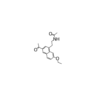 CCOc1ccc2cc(C(C)=O)cc(CCNC(C)=O)c2c1